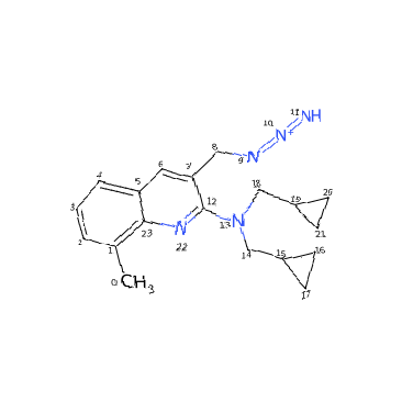 Cc1cccc2cc(CN=[N+]=N)c(N(CC3CC3)CC3CC3)nc12